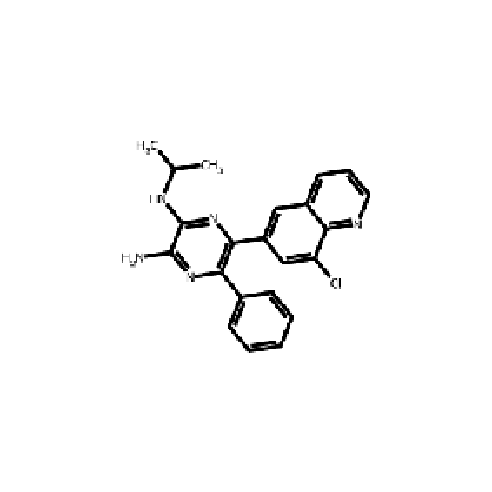 CC(C)Nc1nc(-c2cc(Cl)c3ncccc3c2)c(-c2ccccc2)nc1N